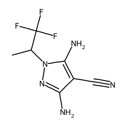 CC(n1nc(N)c(C#N)c1N)C(F)(F)F